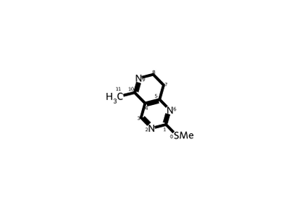 CSc1ncc2c(n1)CCN=C2C